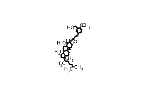 COc1ccc(/C=C/C(=O)OC2CCC34CC35CCC3(C)C(C(C)CCCC(C)C)CCC3(C)C5CCC4C2(C)C)cc1CO